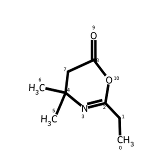 CCC1=NC(C)(C)CC(=O)O1